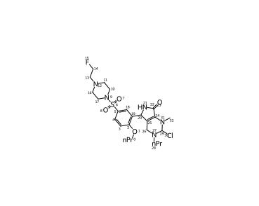 CCCOc1ccc(S(=O)(=O)N2CCN(CCF)CC2)cc1C1NC(=O)C2=C1CN(CCC)C(Cl)N2C